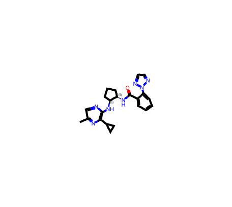 Cc1cnc(N[C@H]2CCC[C@@H]2NC(=O)c2ccccc2-n2nccn2)c(C2CC2)n1